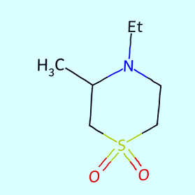 CCN1CCS(=O)(=O)CC1C